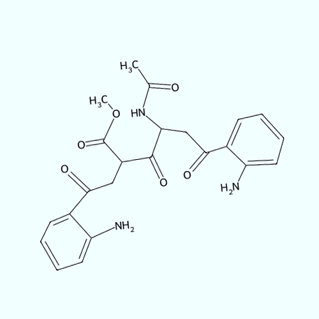 COC(=O)C(CC(=O)c1ccccc1N)C(=O)C(CC(=O)c1ccccc1N)NC(C)=O